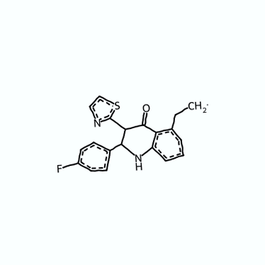 [CH2]Cc1cccc2c1C(=O)C(c1nccs1)C(c1ccc(F)cc1)N2